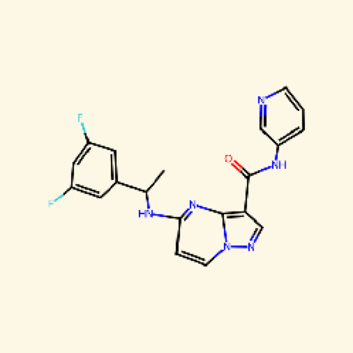 CC(Nc1ccn2ncc(C(=O)Nc3cccnc3)c2n1)c1cc(F)cc(F)c1